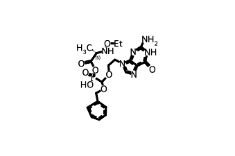 CCON[C@@H](C)C(=O)OP(=O)(O)C(OCCn1cnc2c(=O)[nH]c(N)nc21)OCc1ccccc1